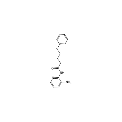 Nc1cccnc1NC(=O)CCCSc1ccccc1